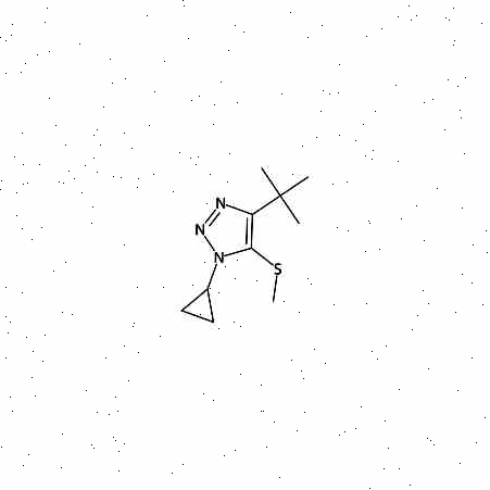 CSc1c(C(C)(C)C)nnn1C1CC1